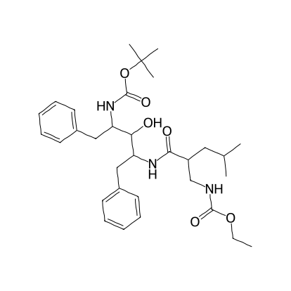 CCOC(=O)NCC(CC(C)C)C(=O)NC(Cc1ccccc1)C(O)C(Cc1ccccc1)NC(=O)OC(C)(C)C